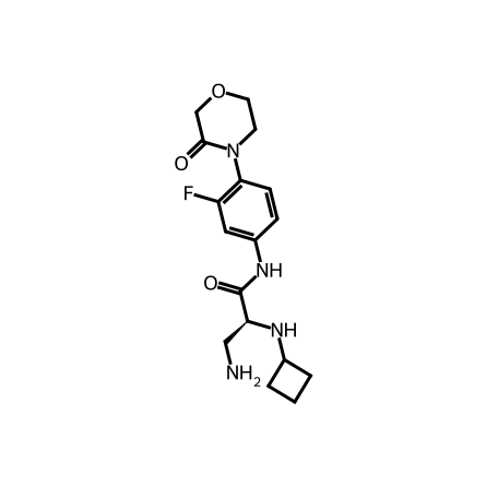 NC[C@H](NC1CCC1)C(=O)Nc1ccc(N2CCOCC2=O)c(F)c1